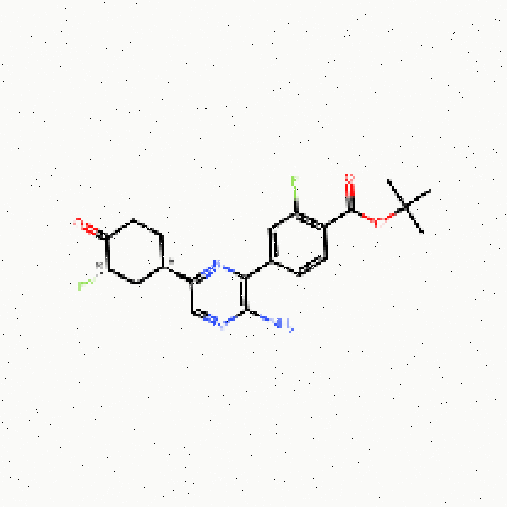 CC(C)(C)OC(=O)c1ccc(-c2nc([C@@H]3CCC(=O)[C@@H](F)C3)cnc2N)cc1F